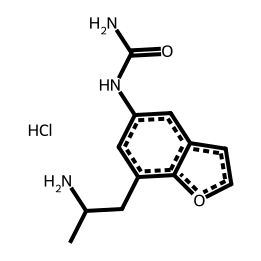 CC(N)Cc1cc(NC(N)=O)cc2ccoc12.Cl